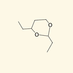 CCC1CCOC(CC)O1